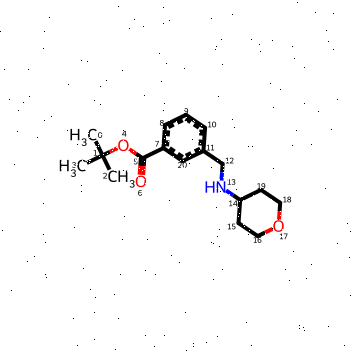 CC(C)(C)OC(=O)c1cccc(CNC2CCOCC2)c1